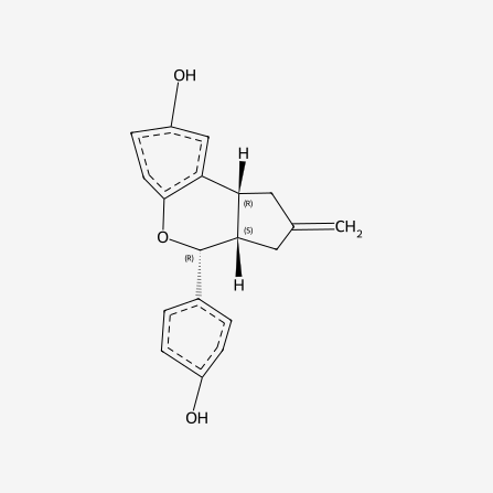 C=C1C[C@H]2[C@@H](C1)c1cc(O)ccc1O[C@H]2c1ccc(O)cc1